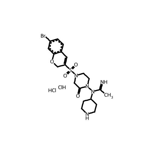 CC(=N)N(C1CCNCC1)N1CCN(S(=O)(=O)C2=Cc3ccc(Br)cc3OC2)CC1=O.Cl.Cl